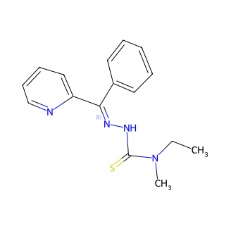 CCN(C)C(=S)N/N=C(\c1ccccc1)c1ccccn1